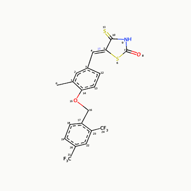 Cc1cc(/C=C2\SC(=O)NC2=S)ccc1OCc1ccc(C(F)(F)F)cc1C(F)(F)F